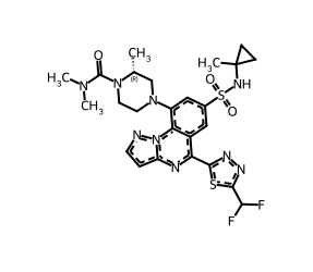 C[C@@H]1CN(c2cc(S(=O)(=O)NC3(C)CC3)cc3c(-c4nnc(C(F)F)s4)nc4ccnn4c23)CCN1C(=O)N(C)C